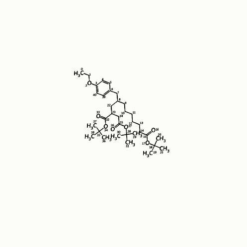 CCOc1ccc(CC(CCCCCCC(=O)OC(C)(C)C)CC(CC(=O)OC(C)(C)C)C(=O)OC(C)(C)C)cc1